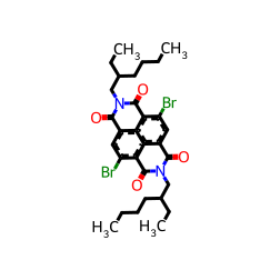 CCCCC(CC)CN1C(=O)c2cc(Br)c3c4c(cc(Br)c(c24)C1=O)C(=O)N(CC(CC)CCCC)C3=O